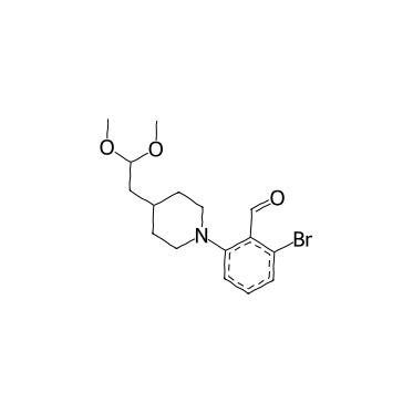 COC(CC1CCN(c2cccc(Br)c2C=O)CC1)OC